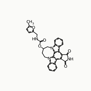 Cc1ccc(CNC(=O)OC2CCn3c4ccccc4c4c5c(c6c7ccccc7n(c6c43)C2)C(=O)NC5=O)o1